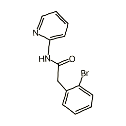 O=C(Cc1ccccc1Br)Nc1ccccn1